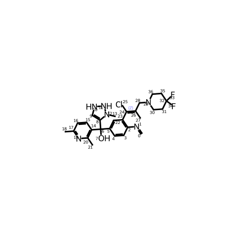 C=Nc1ccc(C(O)(C2=CNNN2C)c2ccc(C)nc2C)cc1/C(Cl)=C(\C)CN1CCC(F)(F)CC1